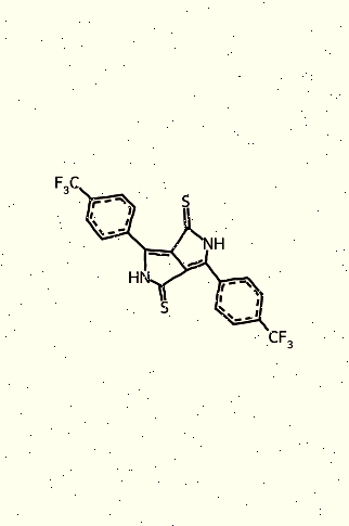 FC(F)(F)c1ccc(C2=C3C(=S)NC(c4ccc(C(F)(F)F)cc4)=C3C(=S)N2)cc1